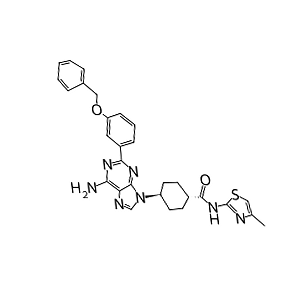 Cc1csc(NC(=O)[C@H]2CC[C@H](n3cnc4c(N)nc(-c5cccc(OCc6ccccc6)c5)nc43)CC2)n1